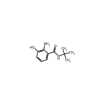 CC(C)(C)NC(=O)c1cccc(O)c1N